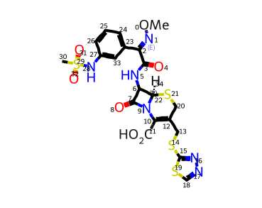 CO/N=C(/C(=O)NC1C(=O)N2C(C(=O)O)=C(CSc3nncs3)CS[C@H]12)c1cccc(NS(C)(=O)=O)c1